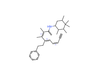 C#C\C=C/C=C(CCc1ccccc1)/C(C)=C(/C)C(=C)NC1CC(C)C(C)(C)C(C)C1C